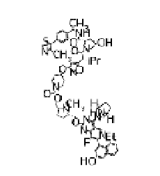 CCc1cccc2cc(O)cc(-c3ncc4c(N5C[C@H]6CC[C@@H](C5)N6)nc(OC[C@@H]5CC[C@@H](COC(=O)N6CCC(Oc7cc([C@H](C(=O)N8C[C@H](O)C[C@H]8C(=O)N[C@@H](C)c8ccc(-c9scnc9C)cc8)C(C)C)on7)CC6)N5C)nc4c3F)c12